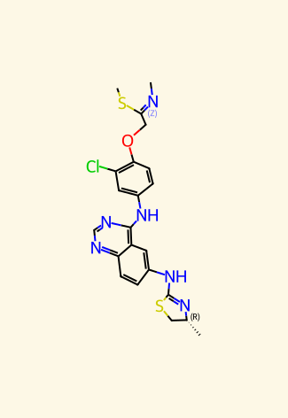 C/N=C(/COc1ccc(Nc2ncnc3ccc(NC4=N[C@H](C)CS4)cc23)cc1Cl)SC